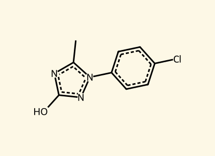 Cc1nc(O)nn1-c1ccc(Cl)cc1